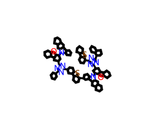 c1ccc(-c2nc(-c3ccc4sc5c(-c6ccc7c(c6)c6cc8ccccc8cc6n7-c6cc(-c7nc(-c8cccc9ccccc89)nc(-c8cccc9c8sc8ccccc89)n7)cc7c6oc6ccccc67)cccc5c4c3)nc(-c3cc(-n4c5ccccc5c5cc6ccccc6cc54)c4oc5ccccc5c4c3)n2)cc1